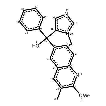 COc1nc2ccc(C(O)(c3ccccc3)c3cncn3C)cc2cc1C